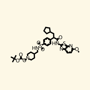 COc1ccc2nc(NC(=O)C(CC3CCCC3)c3ccc(S(=O)(=O)NCC4CCN(OC(=O)OC(C)(C)C)CC4)cc3)sc2n1